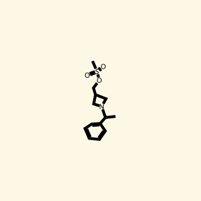 CC(c1ccccc1)N1CC(COS(C)(=O)=O)C1